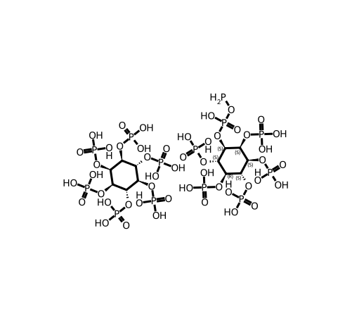 O=P(O)(O)O[C@@H]1[C@@H](OP(=O)(O)O)[C@H](OP(=O)(O)O)[C@@H](OP(=O)(O)OP)[C@@H](OP(=O)(O)O)[C@H]1OP(=O)(O)O.O=P(O)(O)O[C@H]1[C@H](OP(=O)(O)O)[C@@H](OP(=O)(O)O)[C@H](OP(=O)(O)O)[C@@H](OP(=O)(O)O)[C@H]1OP(=O)(O)O